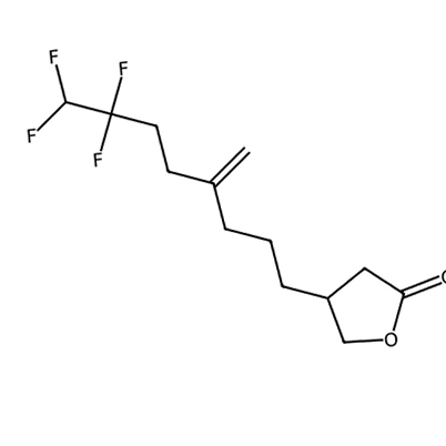 C=C(CCCC1COC(=O)C1)CCC(F)(F)C(F)F